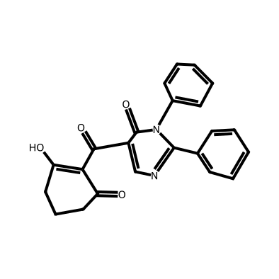 O=C1CCCC(O)=C1C(=O)c1cnc(-c2ccccc2)n(-c2ccccc2)c1=O